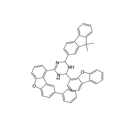 CC1(C)c2ccccc2-c2ccc(C3N=C(c4cccc5oc6ccc(-c7ccccc7)cc6c45)NC(c4cccc5c4oc4ccccc45)N3)cc21